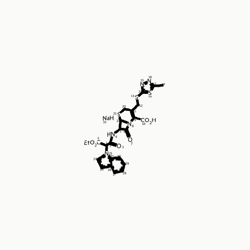 CCOC(=O)C(C(=O)NC1C(=O)N2C(C(=O)O)=C(CSc3nnc(C)s3)CSC12)n1ccc2ccccc21.[NaH]